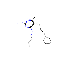 CCCCNc1nc(N)nc(C)c1CCCC1CCCCC1